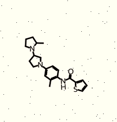 Cc1cc(N2CCC(N3CCCC3C)C2)ccc1NC(=O)c1cccs1